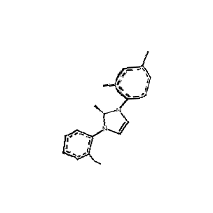 Cc1ccc(N2C=CN(c3ccccc3C)[C@H]2C)c(C)c1